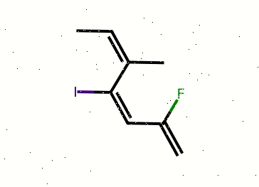 C=C(F)/C=C(I)\C(C)=C/C